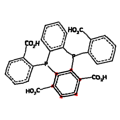 O=C(O)c1ccccc1P(c1ccccc1C(=O)O)c1ccccc1P(c1ccccc1C(=O)O)c1ccccc1C(=O)O